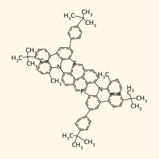 Cc1ccccc1N(c1c(F)cc(-c2ccc(C(C)(C)C)cc2)cc1-c1ccc(C(C)(C)C)cc1)c1ccc2ccc3c(N(c4ccccc4C)c4c(F)cc(-c5ccc(C(C)(C)C)cc5)cc4-c4ccc(C(C)(C)C)cc4)ccc4ccc1c2c43